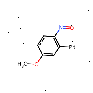 COc1ccc(N=O)[c]([Pd])c1